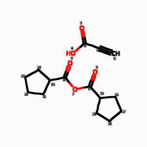 C#CC(=O)O.O=C(OC(=O)C1CCCC1)C1CCCC1